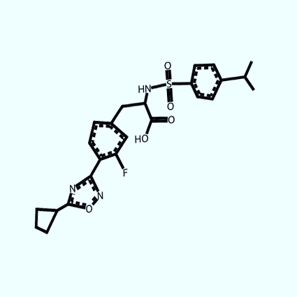 CC(C)c1ccc(S(=O)(=O)NC(Cc2ccc(-c3noc(C4CCC4)n3)c(F)c2)C(=O)O)cc1